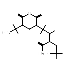 CC(C(CC(C)(C)C)C(N)=O)C(C)(C)C1CC(C(C)(C)N)C(=O)NC1=O